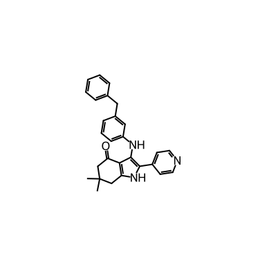 CC1(C)CC(=O)c2c([nH]c(-c3ccncc3)c2Nc2cccc(Cc3ccccc3)c2)C1